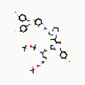 COc1ccc(COC(=O)C2=C(C[N+]3(CCNC(=S)Nc4ccc(OCc5ccc(OC)cc5)c(OCc5ccc(OC)cc5)c4Cl)CCCC3)CS[C@@H]3[C@H](NC(=O)/C(=N\OC(C)(C)C(=O)OC(C)(C)C)c4csc(NC(=O)OC(C)(C)C)n4)C(=O)N23)cc1